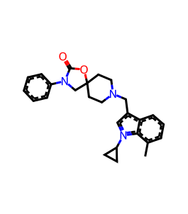 Cc1cccc2c(CN3CCC4(CC3)CN(c3ccccc3)C(=O)O4)cn(C3CC3)c12